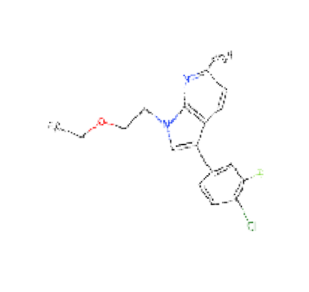 O=C(O)c1ccc2c(-c3ccc(Cl)c(F)c3)cn(CCOCC(F)(F)F)c2n1